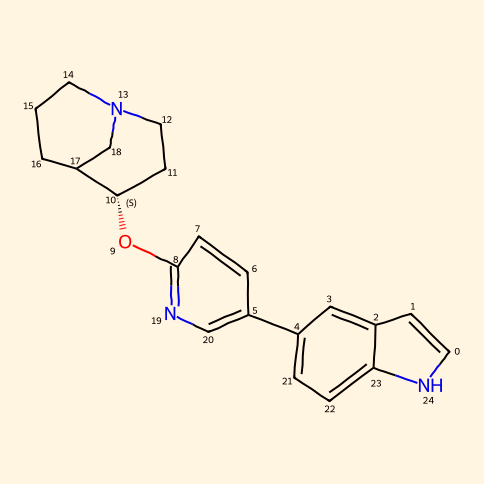 c1cc2cc(-c3ccc(O[C@H]4CCN5CCCC4C5)nc3)ccc2[nH]1